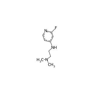 CN(C)CCNc1ccnc(F)c1